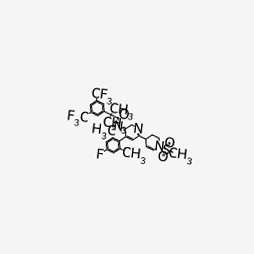 Cc1cc(F)ccc1C1=CC(C2C=CN(S(C)(=O)=O)CC2)=NCC1N(C)C(=O)C(C)(C)c1cc(C(F)(F)F)cc(C(F)(F)F)c1